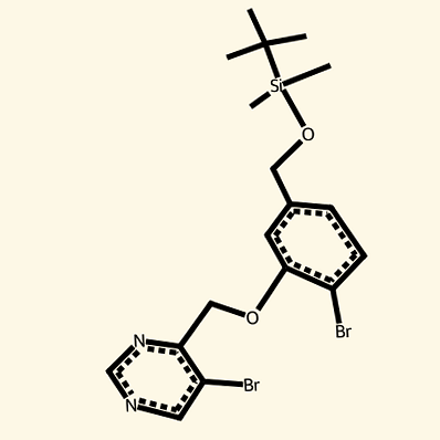 CC(C)(C)[Si](C)(C)OCc1ccc(Br)c(OCc2ncncc2Br)c1